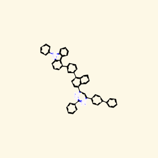 c1ccc(-c2ccc(-c3cc(-c4ccc(-c5cccc(-c6cccc7c6c6ccccc6n7-c6ccccc6)c5)c5ccccc45)nc(-c4ccccc4)n3)cc2)cc1